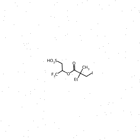 CCC(C)(CI)C(=O)OC(CS(=O)(=O)O)C(F)(F)F